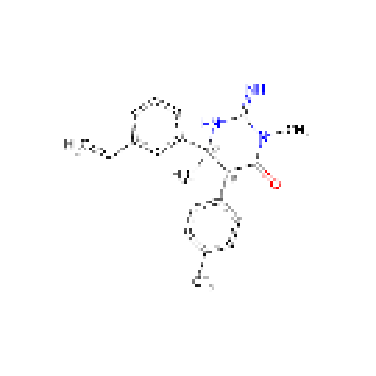 C=Cc1cccc([C@@]2(C)NC(=N)N(C)C(=O)[C@@H]2c2ccc(C(F)(F)F)cc2)c1